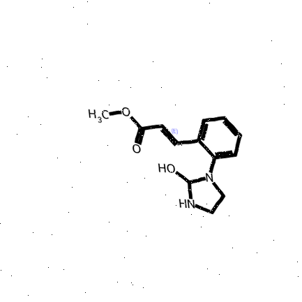 COC(=O)/C=C/c1ccccc1N1CCNC1O